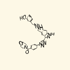 O=C(c1ccc(-n2cc(-c3n[nH]c4ccc(CNCc5cccc(O)c5)cc34)nn2)cc1)N1CCOCC1